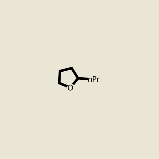 [CH2]CCC1CCCO1